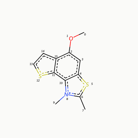 COc1cc2sc(C)[n+](C)c2c2sccc12